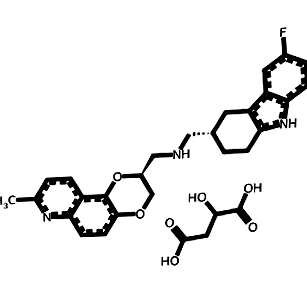 Cc1ccc2c3c(ccc2n1)OC[C@H](CNC[C@H]1CCc2[nH]c4ccc(F)cc4c2C1)O3.O=C(O)CC(O)C(=O)O